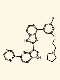 Fc1cc(OCCN2CCCC2)cc(-c2nccc3[nH]c(-c4n[nH]c5ccc(-c6cnccn6)nc45)nc23)c1